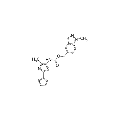 Cc1nc(-c2cccs2)sc1NC(=O)OCc1ccc2c(cnn2C)c1